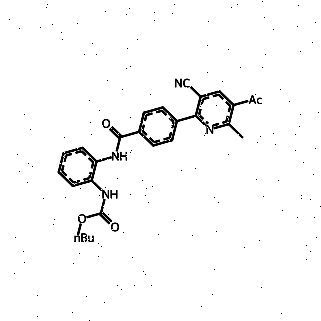 CCCCOC(=O)Nc1ccccc1NC(=O)c1ccc(-c2nc(C)c(C(C)=O)cc2C#N)cc1